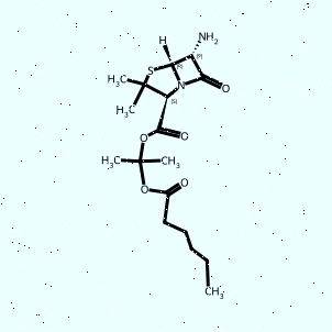 CCCCCC(=O)OC(C)(C)OC(=O)[C@@H]1N2C(=O)[C@@H](N)[C@H]2SC1(C)C